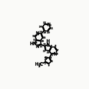 Cc1ccc(-c2nccc3[nH]c(-c4n[nH]c5cnc(-c6ccncc6)cc45)cc23)s1